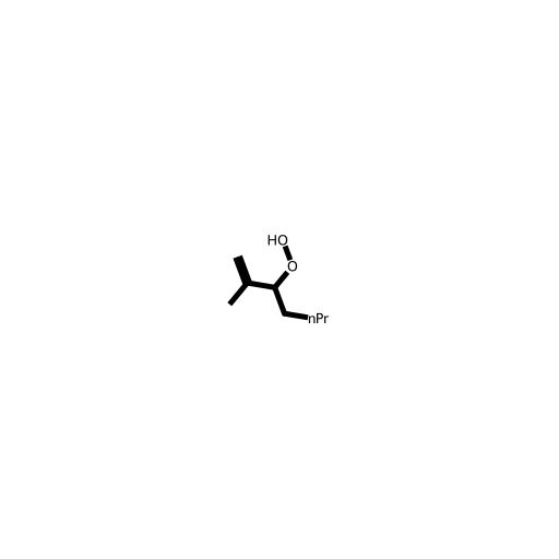 C=C(C)C(CCCC)OO